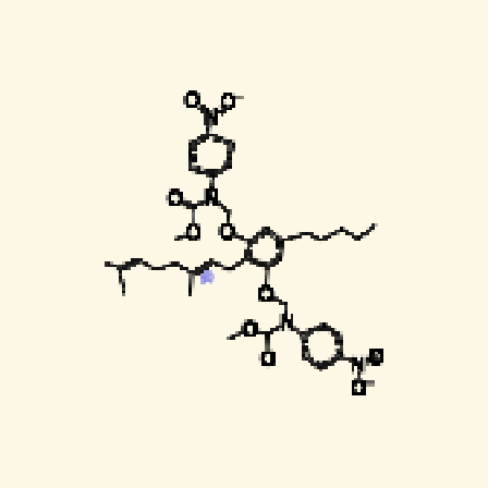 CCCCCc1cc(OCN(C(=O)OC)c2ccc([N+](=O)[O-])cc2)c(C/C=C(\C)CCC=C(C)C)c(OCN(C(=O)OC)c2ccc([N+](=O)[O-])cc2)c1